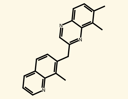 Cc1ccc2ncc(Cc3ccc4cccnc4c3C)nc2c1C